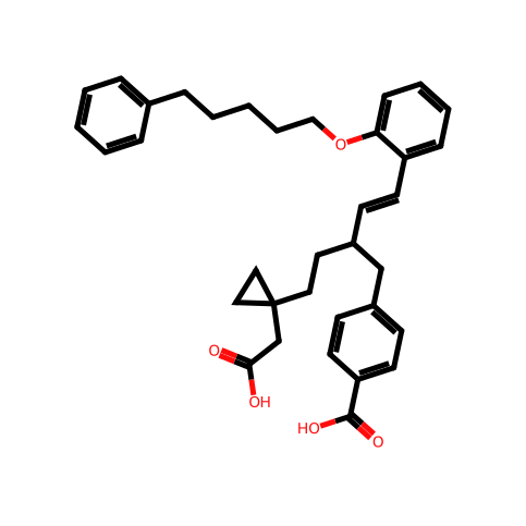 O=C(O)CC1(CCC(C=Cc2ccccc2OCCCCCc2ccccc2)Cc2ccc(C(=O)O)cc2)CC1